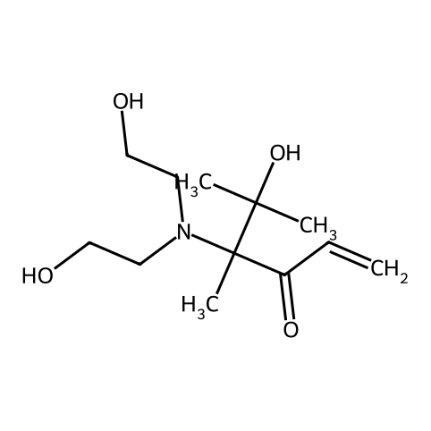 C=CC(=O)C(C)(N(CCO)CCO)C(C)(C)O